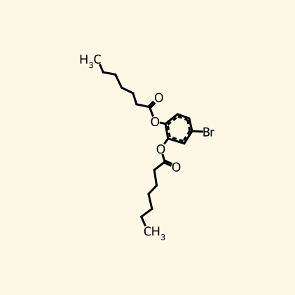 CCCCCCC(=O)Oc1ccc(Br)cc1OC(=O)CCCCCC